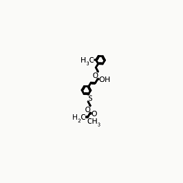 C=C(C)C(=O)OCCSc1cccc(/C=C/C(O)OCCc2ccccc2C)c1